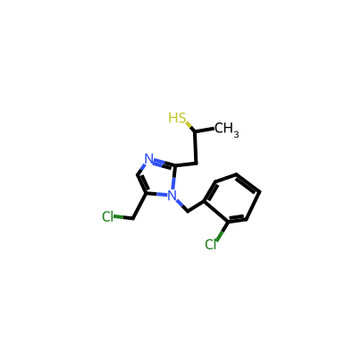 CC(S)Cc1ncc(CCl)n1Cc1ccccc1Cl